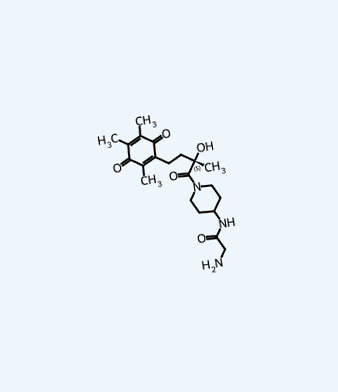 CC1=C(C)C(=O)C(CC[C@](C)(O)C(=O)N2CCC(NC(=O)CN)CC2)=C(C)C1=O